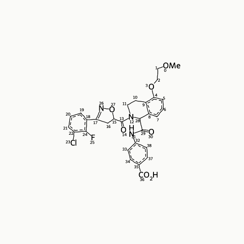 COCCOc1cccc2c1CCN(C(=O)C1CC(c3cccc(Cl)c3F)=NO1)C2C(=O)Nc1ccc(C(=O)O)cc1